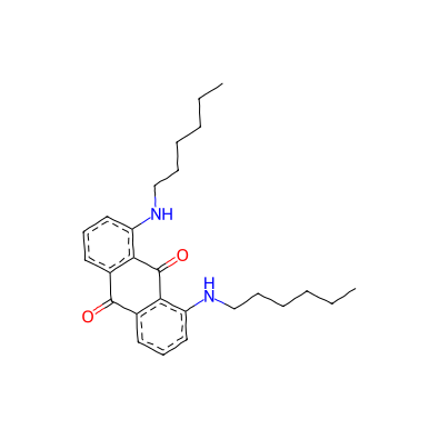 CCCCCCNc1cccc2c1C(=O)c1c(NCCCCCC)cccc1C2=O